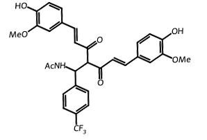 COc1cc(/C=C/C(=O)C(C(=O)/C=C/c2ccc(O)c(OC)c2)C(NC(C)=O)c2ccc(C(F)(F)F)cc2)ccc1O